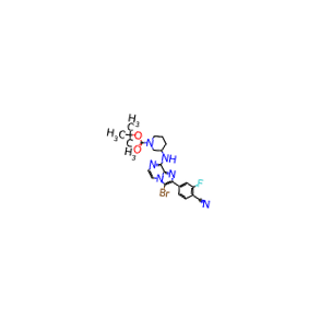 CC(C)(C)OC(=O)N1CCCC(Nc2nccn3c(Br)c(-c4ccc(C#N)c(F)c4)nc23)C1